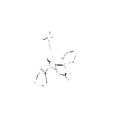 C[Si](C)(C)CCOCn1c(=O)n(C2CCOCC2)c2nc(Cl)nc(N3CCOCC3)c21